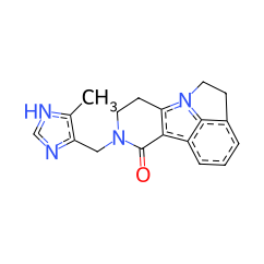 Cc1[nH]cnc1CN1CCc2c(c3cccc4c3n2CC4)C1=O